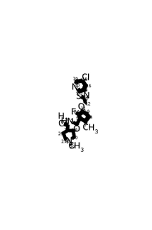 C=C(NC(=O)c1c(C)ccc(OCc2nc3cc(Cl)cnc3s2)c1F)C1CCN(C)CC1